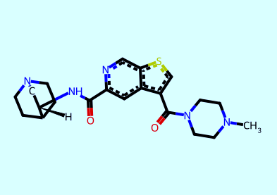 CN1CCN(C(=O)c2csc3cnc(C(=O)N[C@H]4CN5CCC4CC5)cc23)CC1